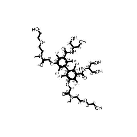 CN(CCOCCO)C(=O)COc1c(I)c(C(=O)NC(CO)CO)c(I)c(-c2c(I)c(OCC(=O)N(C)CCOCCO)c(I)c(C(=O)NC(CO)CO)c2I)c1I